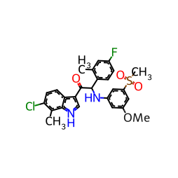 COc1cc(NC(C(=O)c2c[nH]c3c(C)c(Cl)ccc23)c2ccc(F)cc2C)cc(S(C)(=O)=O)c1